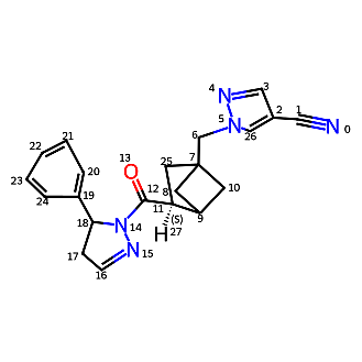 N#Cc1cnn(CC23CC(C2)[C@@H](C(=O)N2N=CCC2c2ccccc2)C3)c1